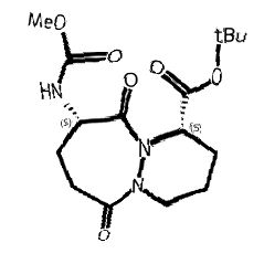 COC(=O)N[C@H]1CCC(=O)N2CCC[C@@H](C(=O)OC(C)(C)C)N2C1=O